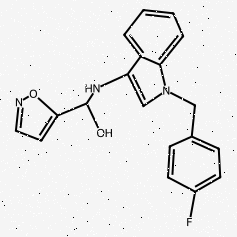 OC(Nc1cn(Cc2ccc(F)cc2)c2ccccc12)c1ccno1